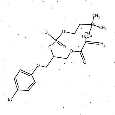 C=C(C)C(=O)OCC(COc1ccc(CC)cc1)OP(=O)(O)OCC[N+](C)(C)C